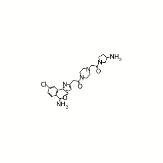 NC(=O)c1ccc(Cl)cc1-c1nc(CC(=O)N2CCN(CC(=O)N3CCC(N)C3)CC2)cs1